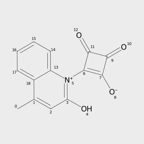 Cc1cc(O)[n+](-c2c([O-])c(=O)c2=O)c2ccccc12